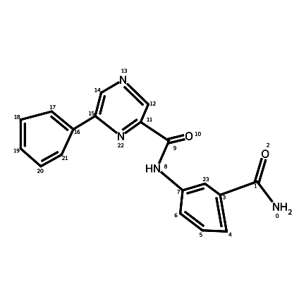 NC(=O)c1cccc(NC(=O)c2cncc(-c3ccccc3)n2)c1